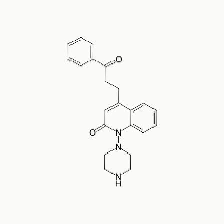 O=C(CCc1cc(=O)n(N2CCNCC2)c2ccccc12)c1ccccc1